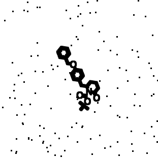 CC(C)(C)OC(=O)N1C(=O)CCCC1Cc1ccc(OCc2ccccc2)cc1